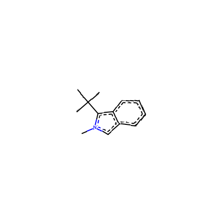 Cn1cc2ccccc2c1C(C)(C)C